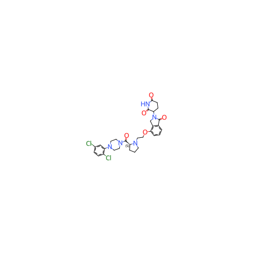 O=C1CCC(N2Cc3c(OCCN4CCC[C@H]4C(=O)N4CCN(c5cc(Cl)ccc5Cl)CC4)cccc3C2=O)C(=O)N1